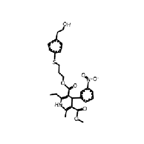 CCC1=C(C(=O)OCCCSc2ccc(CCO)cc2)C(c2cccc([N+](=O)[O-])c2)C(C(=O)OC)=C(C)N1